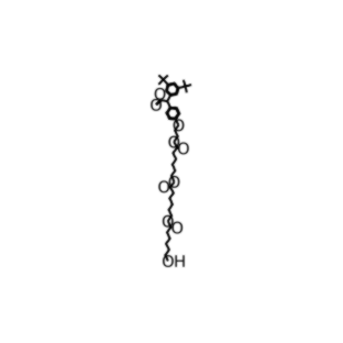 CC(C)(C)c1cc2c(c(C(C)(C)C)c1)OC(=O)C2c1ccc(OCCOC(=O)CCCCCOC(=O)CCCCCOC(=O)CCCCCO)cc1